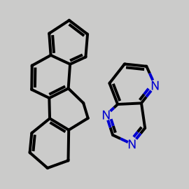 C1=CC2=C(CC1)CCc1c2ccc2ccccc12.c1cnc2cncnc2c1